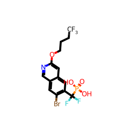 O=P(O)(O)C(F)(F)c1cc2cc(OCCCC(F)(F)F)ncc2cc1Br